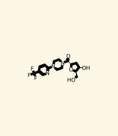 O=C([C@@H]1C[C@H](O)[C@@H](CO)O1)N1CCN(c2ccc(C(F)(F)F)cn2)CC1